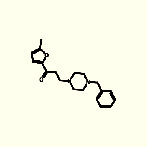 Cc1ccc(C(=O)CCN2CCN(Cc3ccccc3)CC2)o1